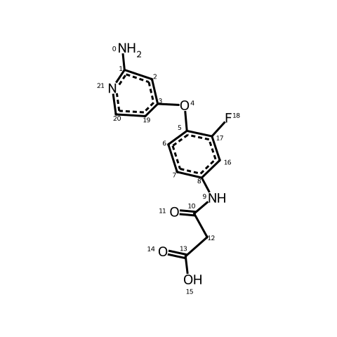 Nc1cc(Oc2ccc(NC(=O)CC(=O)O)cc2F)ccn1